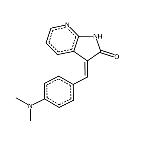 CN(C)c1ccc(/C=C2/C(=O)Nc3ncccc32)cc1